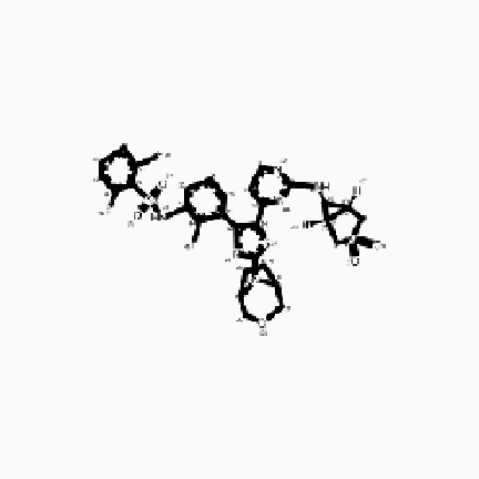 O=S1(=O)C[C@@H]2[C@H](C1)[C@H]2Nc1nccc(-c2sc(N3C4CCC3COC4)nc2-c2cccc(NS(=O)(=O)c3c(F)cccc3F)c2F)n1